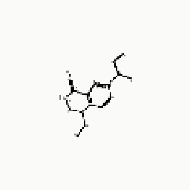 CCC(C)c1ccc2c(c1)C(=O)NCC2CC